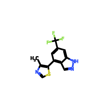 Cc1ncsc1-c1cc(C(F)(F)F)cc2[nH]ncc12